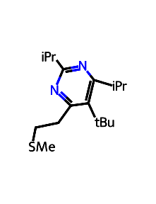 CSCCc1nc(C(C)C)nc(C(C)C)c1C(C)(C)C